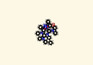 c1ccc(-c2ccc3c(c2)c2c4c(c5ccccc5n4-c4ccccc4)c4c(c5ccccc5n4-c4ccccc4)c2n3-c2cc(-c3nc(-c4ccccc4)nc(-c4ccccc4)n3)cc(-n3c4ccccc4c4ccc5oc6ccccc6c5c43)c2)cc1